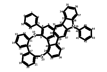 c1ccc(-c2cccc3c2Sc2ccccc2-c2ccccc2Sc2cccc(-c4ccc5c6ccccc6n(-c6ccccc6)c5c4)c2-3)cc1